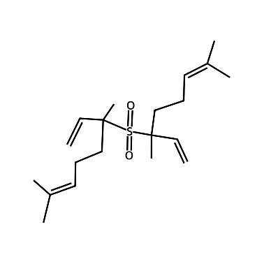 C=CC(C)(CCC=C(C)C)S(=O)(=O)C(C)(C=C)CCC=C(C)C